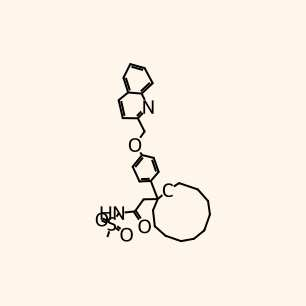 CS(=O)(=O)NC(=O)CC1(c2ccc(OCc3ccc4ccccc4n3)cc2)CCCCCCCCCCC1